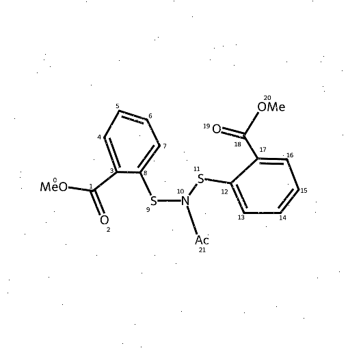 COC(=O)c1ccccc1SN(Sc1ccccc1C(=O)OC)C(C)=O